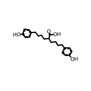 O=C(O)C(CCCCc1ccc(O)cc1)CCCCc1ccc(O)cc1